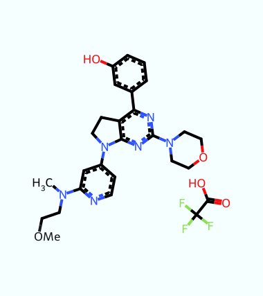 COCCN(C)c1cc(N2CCc3c(-c4cccc(O)c4)nc(N4CCOCC4)nc32)ccn1.O=C(O)C(F)(F)F